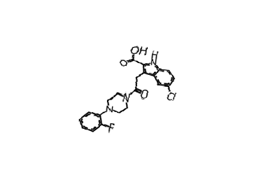 O=C(O)c1[nH]c2ccc(Cl)cc2c1CC(=O)N1CCN(c2ccccc2F)CC1